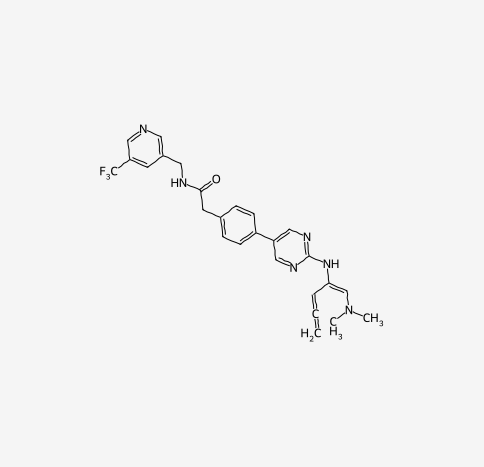 C=C=C/C(=C\N(C)C)Nc1ncc(-c2ccc(CC(=O)NCc3cncc(C(F)(F)F)c3)cc2)cn1